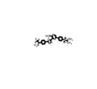 CC(C)S(=O)(=O)c1ccc(-c2cnc(N)c(-c3nnc(-c4ccc(C(N)C(F)(F)F)cc4)o3)n2)cc1